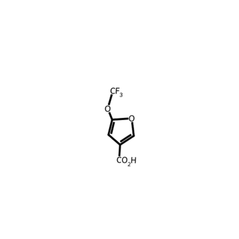 O=C(O)c1coc(OC(F)(F)F)c1